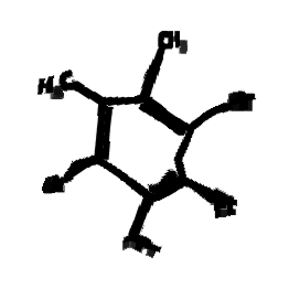 CCCc1c(Br)c(C)c(C)c(Br)c1CC